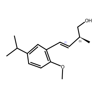 COc1ccc(C(C)C)cc1/C=C/[C@H](C)CO